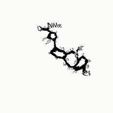 CNC(=O)c1ccc(-c2ccc3c(c2)CN(C(C)=O)c2ccc(Cl)cc2/C=C\3)cc1